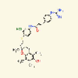 Cc1c(C)c2c(c(C)c1O)CCC(C)(CCSc1ccc(NC(=O)C=Cc3ccc(NC(=N)N)cc3)cc1)O2.Cl